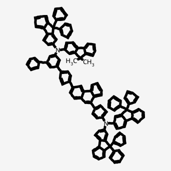 CC1(C)c2ccccc2-c2ccc(N(c3cc(-c4ccccc4)cc(-c4ccc(-c5ccc6cc(-c7ccc(N(c8ccc9c(c8)C(c8ccccc8)(c8ccccc8)c8ccccc8-9)c8ccc9c(c8)C(c8ccccc8)(c8ccccc8)c8ccccc8-9)cc7)c7ccccc7c6c5)cc4)c3)c3ccc4c(c3)C(c3ccccc3)(c3ccccc3)c3ccccc3-4)cc21